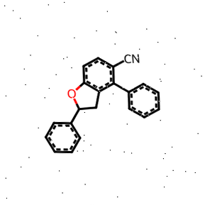 N#Cc1ccc2c(c1-c1ccccc1)CC(c1ccccc1)O2